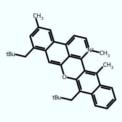 Cc1cc(CC(C)(C)C)c2cc3c4c([n+](C)ccc4c2c1)-c1c(c(CC(C)(C)C)c2ccccc2c1C)O3